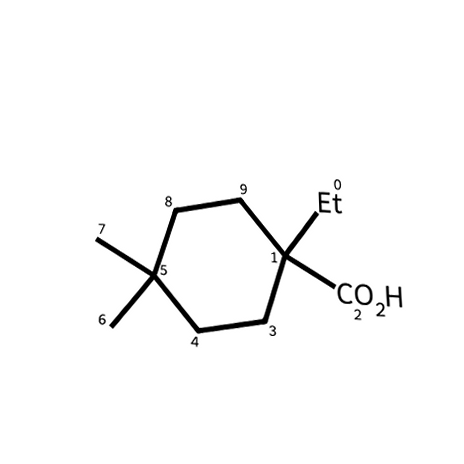 CCC1(C(=O)O)CCC(C)(C)CC1